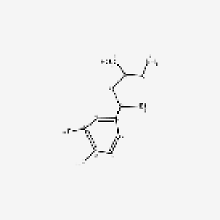 CCC(CC(CN)C(=O)O)c1ccc(F)c(F)c1